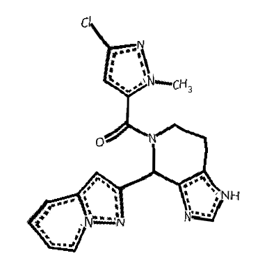 Cn1nc(Cl)cc1C(=O)N1CCc2[nH]cnc2C1c1cc2ccccn2n1